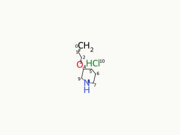 C=CCOC1CCCNC1.Cl